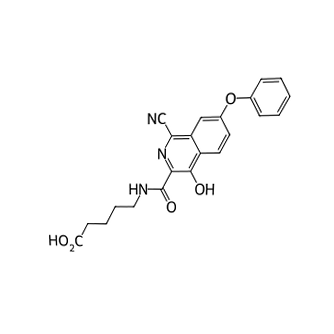 N#Cc1nc(C(=O)NCCCCC(=O)O)c(O)c2ccc(Oc3ccccc3)cc12